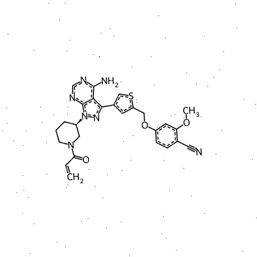 C=CC(=O)N1CCC[C@@H](n2nc(-c3csc(COc4ccc(C#N)c(OC)c4)c3)c3c(N)ncnc32)C1